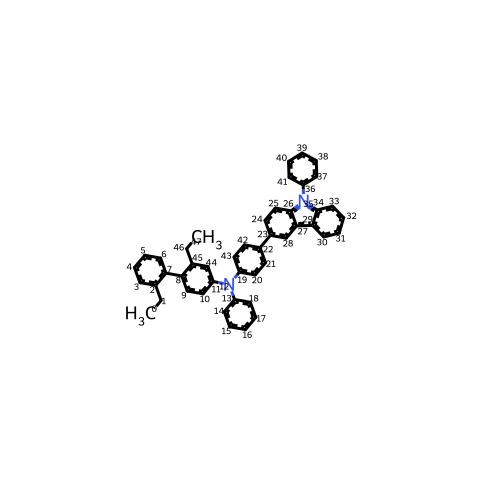 CCc1ccccc1-c1ccc(N(c2ccccc2)c2ccc(-c3ccc4c(c3)c3ccccc3n4-c3ccccc3)cc2)cc1CC